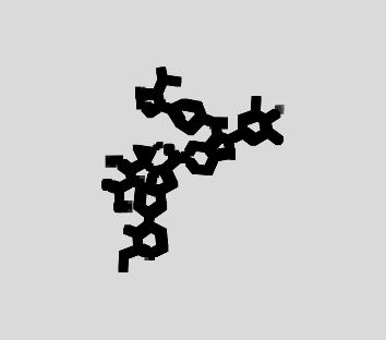 CCc1nccc(-c2ccc3c(c2)cc(C(=O)N2CCc4nn(-c5cc(C)c(F)c(C)c5)c(Nc5ccc(-n6cnnc6C(C)C)cc5)c4C2)n3[C@@]2(C(=N)NC(=O)O)C[C@@H]2C)c1C